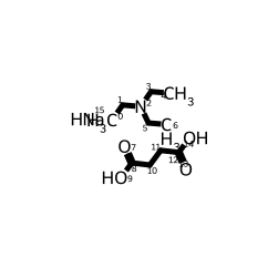 CCN(CC)CC.O=C(O)CCC(=O)O.[NaH]